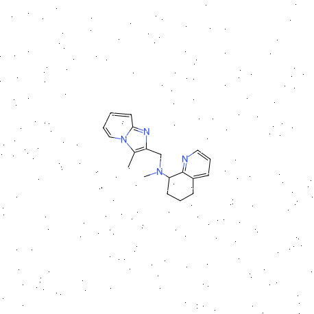 Cc1c(CN(C)C2CCCc3cccnc32)nc2ccccn12